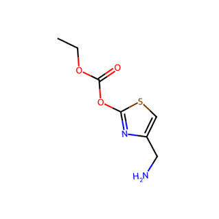 CCOC(=O)Oc1nc(CN)cs1